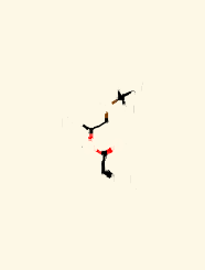 C=CC(=O)OC(C)CSC(C)(C)C